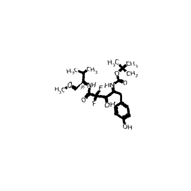 COC[C@H](NC(=O)C(F)(F)C(O)C(Cc1ccc(O)cc1)NC(=O)OC(C)(C)C)C(C)C